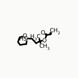 C=CC(=O)OC(C)(C)CC[SiH]1CCCCO1